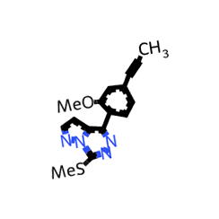 CC#Cc1ccc(-c2nnc(SC)n3nccc23)c(OC)c1